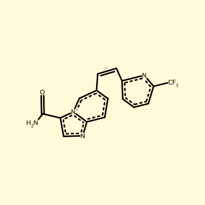 NC(=O)c1cnc2ccc(/C=C\c3cccc(C(F)(F)F)n3)cn12